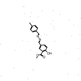 COC(=O)c1cc(/C=N/N=C/c2ccc(C)cc2)ccc1O